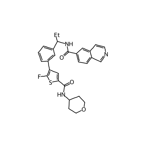 CCC(NC(=O)c1ccc2cnccc2c1)c1cccc(-c2cc(C(=O)NC3CCOCC3)sc2F)c1